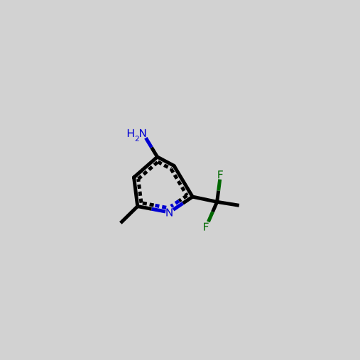 Cc1cc(N)cc(C(C)(F)F)n1